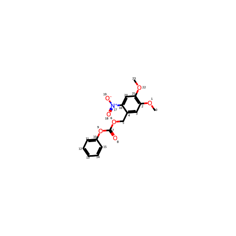 COc1cc(COC(=O)Oc2ccccc2)c([N+](=O)[O-])cc1OC